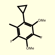 COc1c(F)c(C)c(C2CC2)c(OC)c1F